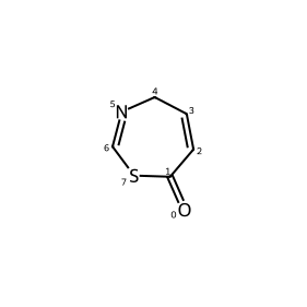 O=C1C=CCN=CS1